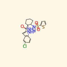 NC1(C(=O)c2cc3cc(Cl)ccc3[nH]2)CCCCC1NS(=O)(=O)c1cccs1